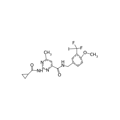 COc1ccc(CNC(=O)c2cc(C)nc(NC(=O)C3CC3)n2)cc1C(F)(F)I